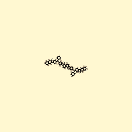 c1ccc(N(c2ccc3c(c2)oc2cc4ccccc4cc23)c2ccc3c(c2)oc2c3ccc3c2ccc2c4ccc(N(c5ccccc5)c5ccc6c(c5)oc5cc7ccccc7cc56)cc4sc23)cc1